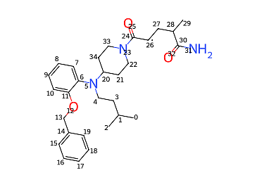 CC(C)CCN(c1ccccc1OCc1ccccc1)C1CCN(C(=O)[CH]CC(C)C(N)=O)CC1